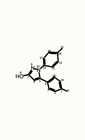 Cc1ccc(-c2cc(O)nn2-c2ccc(C)cc2)cc1